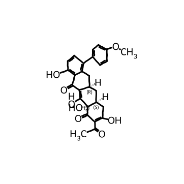 COc1ccc(-c2ccc(O)c3c2C[C@H]2C[C@H]4CC(O)=C(C(C)=O)C(=O)[C@@]4(O)C(O)=C2C3=O)cc1